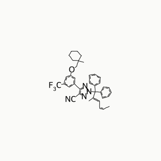 C/C=C\C=C(/C)C(c1ccccc1)(c1ccccc1)n1nc(C#N)c(-c2cc(OCC3(C)CCCCC3)cc(C(F)(F)F)c2)n1